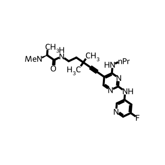 CCCNc1nc(Nc2cncc(F)c2)ncc1C#CC(C)(C)CCNC(=O)[C@H](C)NC